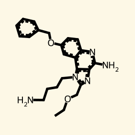 CCOCc1nc2c(N)nc3ccc(OCc4ccccc4)cc3c2n1CCCCN